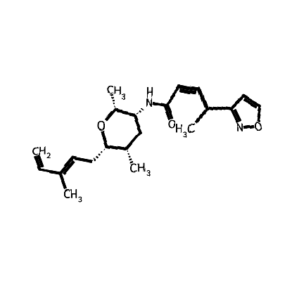 C=C/C(C)=C/C[C@@H]1O[C@H](C)[C@H](NC(=O)/C=C\C(C)c2ccon2)C[C@@H]1C